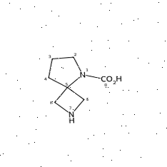 O=C(O)N1CCCC12CNC2